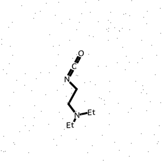 CCN(CC)CCN=C=O